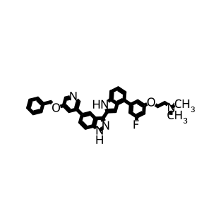 CN(C)CCOc1cc(F)cc(-c2cccc3[nH]c(-c4n[nH]c5ccc(-c6cncc(OCc7ccccc7)c6)cc45)cc23)c1